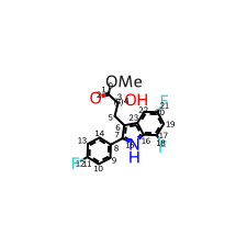 COC(=O)[C@H](O)Cc1c(-c2ccc(F)cc2)[nH]c2c(F)cc(F)cc12